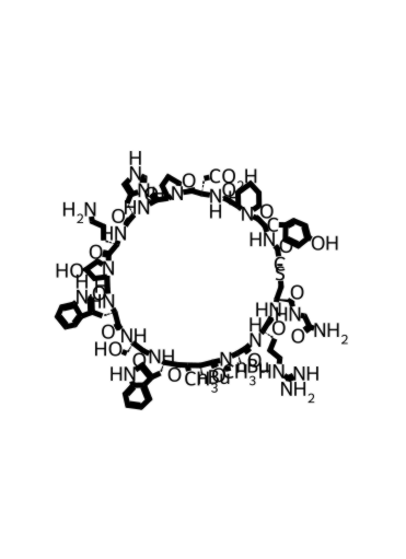 CCCC[C@H]1C(=O)N(C)[C@@H](CCCC)C(=O)N[C@@H](CCCNC(=N)N)C(=O)N[C@H](C(=O)NCC(N)=O)CSCC(=O)N[C@@H](Cc2ccc(O)cc2)C(=O)N2CCCC[C@H]2C(=O)N[C@@H](CC(=O)O)C(=O)N2CCC[C@H]2C(=O)N[C@@H](Cc2c[nH]cn2)C(=O)N[C@@H](CCCN)C(=O)N2C[C@H](O)C[C@H]2C(=O)N[C@@H](Cc2c[nH]c3ccccc23)C(=O)N[C@@H](CO)C(=O)N[C@@H](Cc2c[nH]c3ccccc23)C(=O)C1C